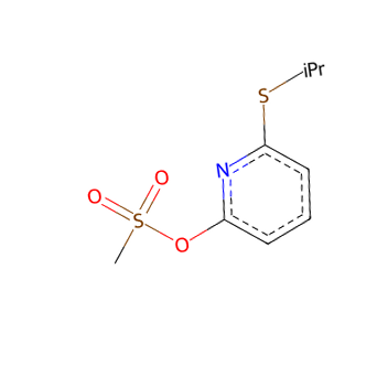 CC(C)Sc1cccc(OS(C)(=O)=O)n1